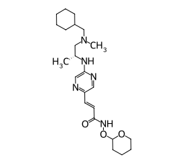 C[C@H](CN(C)CC1CCCCC1)Nc1cnc(/C=C/C(=O)NOC2CCCCO2)cn1